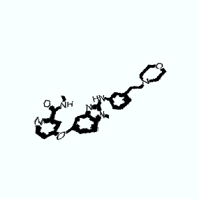 CNC(=O)c1cc(Oc2ccc3c(c2)nc(Nc2cccc(CCN4CCOCC4)c2)n3C)ccn1